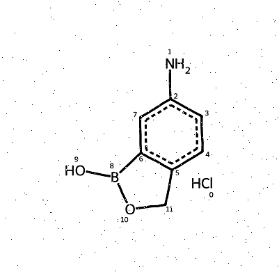 Cl.Nc1ccc2c(c1)B(O)OC2